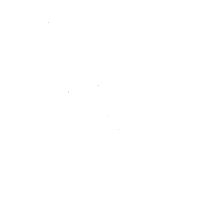 Cc1ccc(S(=O)(=O)C2=CC=C(O)CC2)cc1